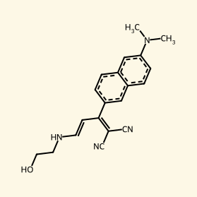 CN(C)c1ccc2cc(C(C=CNCCO)=C(C#N)C#N)ccc2c1